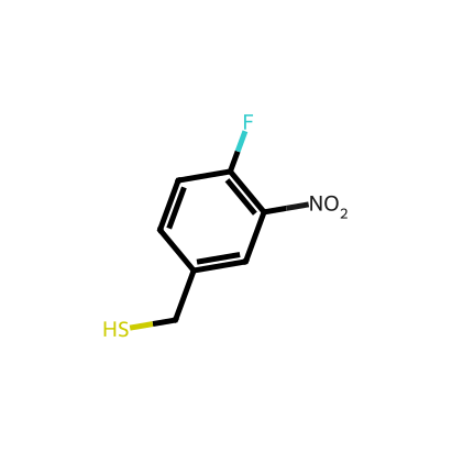 O=[N+]([O-])c1cc(CS)ccc1F